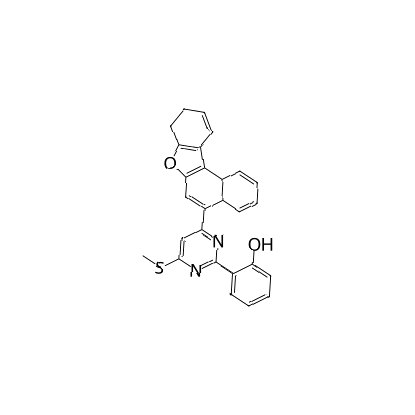 CSc1cc(C2=Cc3oc4c(c3C3C=CC=CC23)C=CCC4)nc(-c2ccccc2O)n1